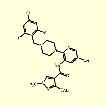 COc1nn(C)cc1C(=O)Nc1cc(C#N)cnc1N1CCN(Cc2c(F)cc(Cl)cc2F)CC1